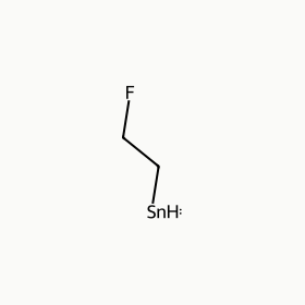 FC[CH2][SnH]